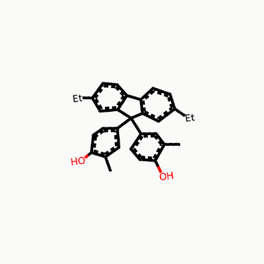 CCc1ccc2c(c1)C(c1ccc(O)c(C)c1)(c1ccc(O)c(C)c1)c1cc(CC)ccc1-2